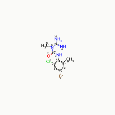 Cc1cc(Br)cc(Cl)c1NC(=O)N(C)C(=N)N